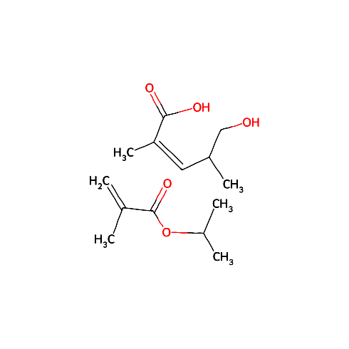 C=C(C)C(=O)OC(C)C.CC(=CC(C)CO)C(=O)O